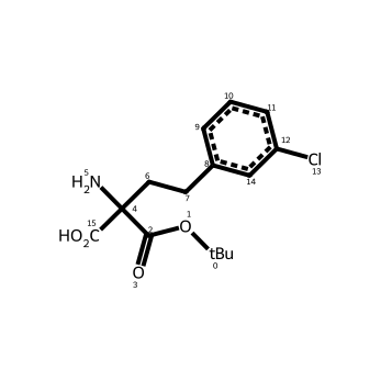 CC(C)(C)OC(=O)C(N)(CCc1cccc(Cl)c1)C(=O)O